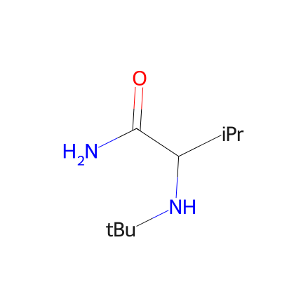 CC(C)C(NC(C)(C)C)C(N)=O